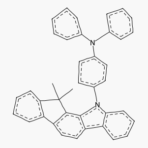 CC1(C)c2ccccc2-c2ccc3c4ccccc4n(-c4ccc(N(c5ccccc5)c5ccccc5)cc4)c3c21